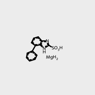 O=S(=O)(O)c1nc2cccc(-c3ccccc3)c2[nH]1.[MgH2]